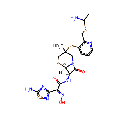 CC(N)SCc1ncccc1SC1(C(=O)O)CS[C@@H]2[C@H](NC(=O)C(=NO)c3nsc(N)n3)C(=O)N2C1